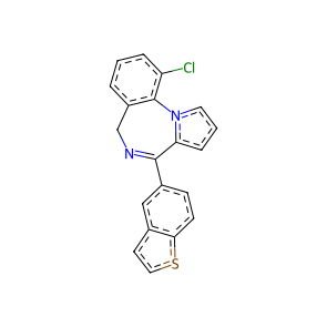 Clc1cccc2c1-n1cccc1C(c1ccc3sccc3c1)=NC2